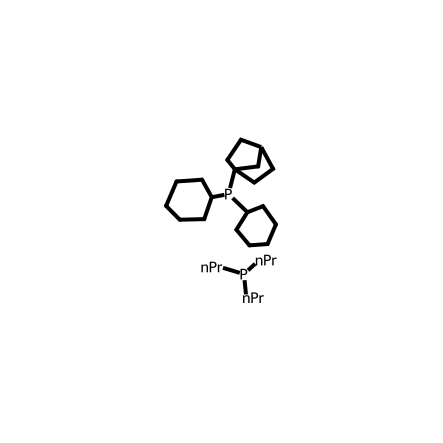 C1CCC(P(C2CCCCC2)C23CCC(CC2)C3)CC1.CCCP(CCC)CCC